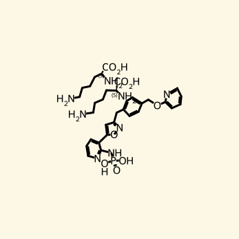 NCCCC[C@H](N)C(=O)O.NCCCC[C@H](N)C(=O)O.O=P(O)(O)Nc1ncccc1-c1cc(Cc2ccc(COc3ccccn3)cc2)no1